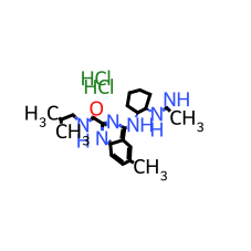 CC(=N)N[C@@H]1CCCC[C@@H]1Nc1nc(C(=O)NCC(C)C)nc2ccc(C)cc12.Cl.Cl